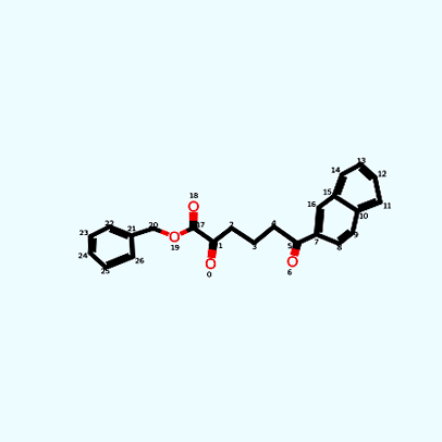 O=C(CCCC(=O)c1ccc2ccccc2c1)C(=O)OCc1ccccc1